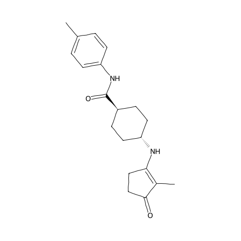 CC1=C(N[C@H]2CC[C@H](C(=O)Nc3ccc(C)cc3)CC2)CCC1=O